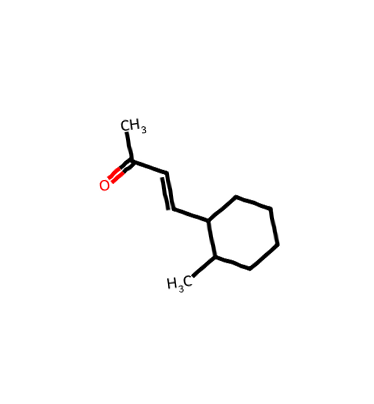 CC(=O)/C=C/C1CCCCC1C